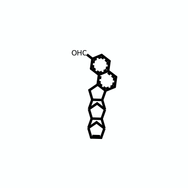 O=Cc1ccc2ccc3c(c2c1)CC1C2CC(C31)C1C3C=CC(C3)C21